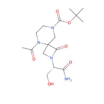 CC(=O)N1CCN(C(=O)OC(C)(C)C)CC12CN([C@@H](CO)C(N)=O)C2=O